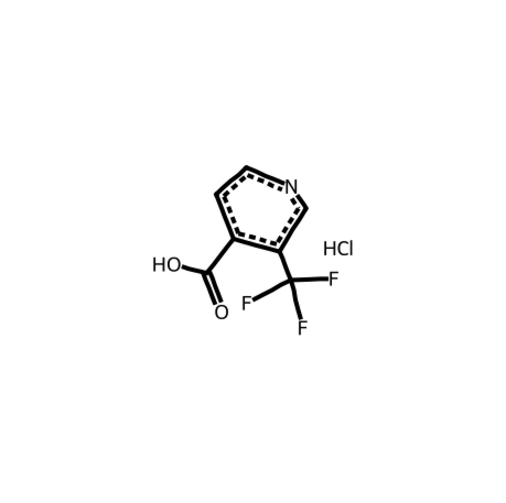 Cl.O=C(O)c1ccncc1C(F)(F)F